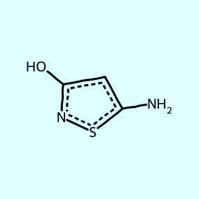 Nc1cc(O)ns1